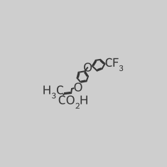 CC(=CCOc1ccc(Oc2ccc(C(F)(F)F)cc2)cc1)C(=O)O